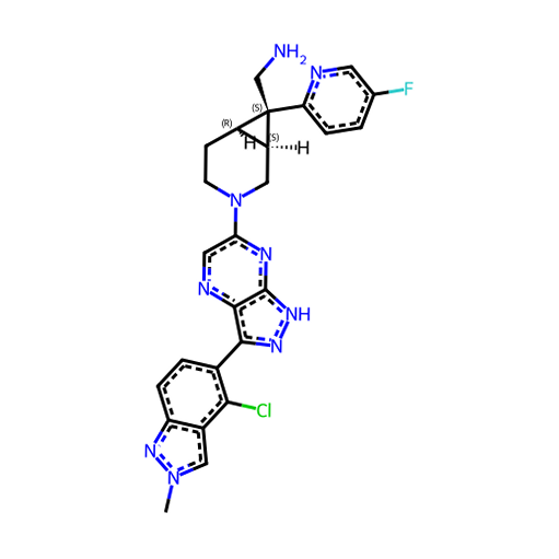 Cn1cc2c(Cl)c(-c3n[nH]c4nc(N5CC[C@@H]6[C@H](C5)[C@@]6(CN)c5ccc(F)cn5)cnc34)ccc2n1